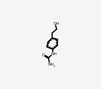 NC(=O)Nc1ccc(CCO)cc1